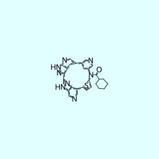 O=C(C1CCCCC1)n1c2cncc(c2)c2cnc3[nH]nc(c4nc5c(cncc5c5ccc1s5)[nH]4)c3c2